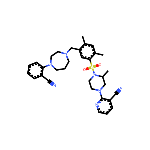 Cc1cc(C)c(S(=O)(=O)N2CCN(c3ncccc3C#N)CC2C)cc1CN1CCCN(c2ccccc2C#N)CC1